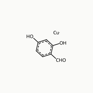 O=Cc1ccc(O)cc1O.[Cu]